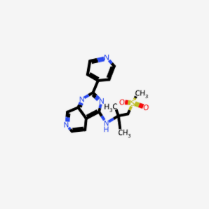 CC(C)(CS(C)(=O)=O)Nc1nc(-c2ccncc2)nc2cnccc12